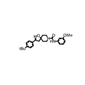 COc1cccc(NC(=O)N2CCC3(CC2)CC(c2ccc(C(C)(C)C)cc2)=NO3)c1